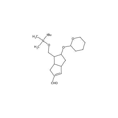 CC(C)(C)[Si](C)(C)OCC1C(OC2CCCCO2)CC2C=C(C=O)CC21